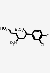 CCOC(=O)C(CC(CCC(=O)O)[N+](=O)[O-])c1ccc(Cl)c(Cl)c1